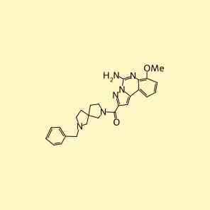 COc1cccc2c1nc(N)n1nc(C(=O)N3CCC4(CCN(Cc5ccccc5)C4)C3)cc21